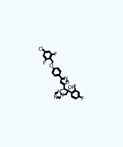 C[C@@H](c1cc(-c2ccc(OCc3c(F)cc(Cl)cc3F)cc2)no1)[C@](O)(Cn1cncn1)c1ccc(F)cc1F